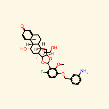 COc1c(OCc2cccc(N)c2)ccc(F)c1[C@@H]1O[C@@H]2C[C@H]3[C@@H]4CCC5=CC(=O)C=C[C@]5(C)[C@H]4[C@@H](O)C[C@]3(C)[C@]2(C(=O)CO)O1